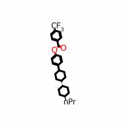 CCC[C@H]1CC[C@H](C2CCC(c3ccc(OC(=O)c4ccc(C(F)(F)F)cc4)cc3)CC2)CC1